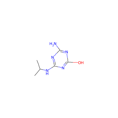 CC(C)Nc1nc(N)nc(O)n1